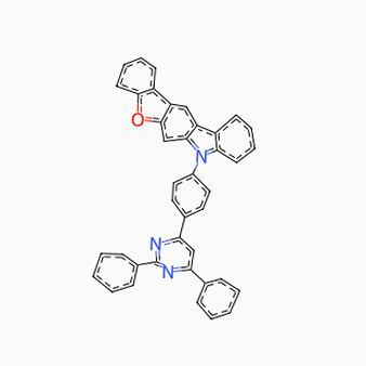 c1ccc(-c2cc(-c3ccc(-n4c5ccccc5c5cc6c(cc54)oc4ccccc46)cc3)nc(-c3ccccc3)n2)cc1